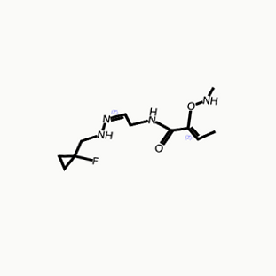 C/C=C(\ONC)C(=O)NC/C=N\NCC1(F)CC1